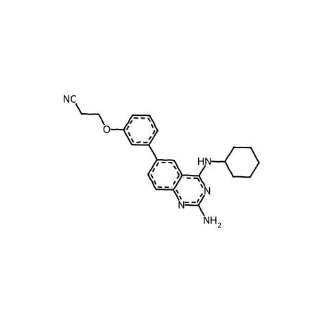 N#CCCOc1cccc(-c2ccc3nc(N)nc(NC4CCCCC4)c3c2)c1